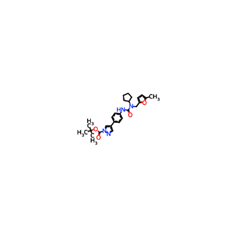 Cc1ccc(CN(C(=O)Nc2ccc(-c3cnn(C(=O)OC(C)(C)C)c3)cc2)C2CCCC2)o1